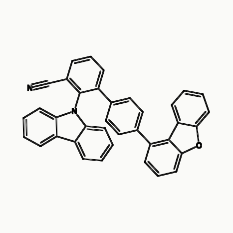 N#Cc1cccc(-c2ccc(-c3cccc4oc5ccccc5c34)cc2)c1-n1c2ccccc2c2ccccc21